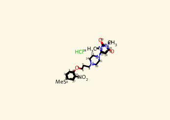 CSc1ccc(OCCCN2CCN(c3cc(=O)n(C)c(=O)n3C)CC2)c([N+](=O)[O-])c1.Cl